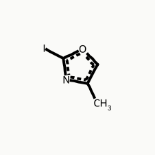 Cc1coc(I)n1